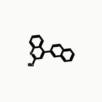 CC(C)(C)c1cc(-c2ccc3ccccc3c2)c2ccccc2n1